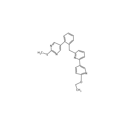 CCOc1ccc(-c2cccc(Cc3ccccc3-c3cnc(SC)nc3)n2)cn1